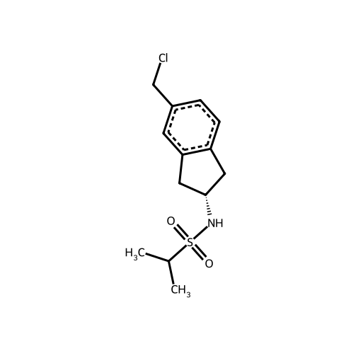 CC(C)S(=O)(=O)N[C@H]1Cc2ccc(CCl)cc2C1